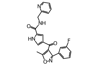 Cc1onc(-c2cccc(F)c2)c1C(=O)c1c[nH]c(C(=O)NCc2ccccn2)c1